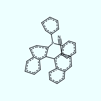 N#Cc1ccc2ccccc2c1-c1c(P(c2ccccc2)c2ccccc2)ccc2ccccc12